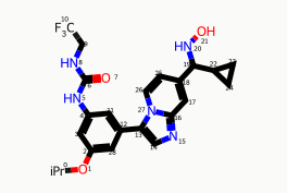 CC(C)Oc1cc(NC(=O)NCC(F)(F)F)cc(-c2cnc3cc(C(NO)C4CC4)ccn23)c1